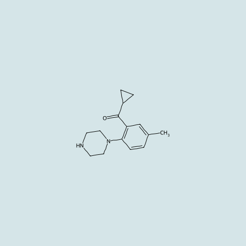 Cc1ccc(N2CCNCC2)c(C(=O)C2CC2)c1